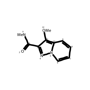 CNC(=O)c1nn2ccccc2c1OC